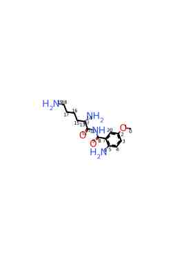 COc1ccc(N)c(C(=O)NC(=O)[C@@H](N)CCCCN)c1